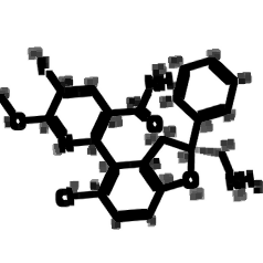 COc1nc(-c2c(Cl)ccc3c2C[C@@](CN)(c2ccccc2)O3)c(C(N)=O)cc1F